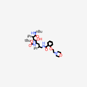 CCCCNC(=O)C(CC(O)C(CC(CNC(=O)c1ccccc1OCCN1CCOCC1)C(C)C)NC(=O)OC(C)(C)C)C(C)C